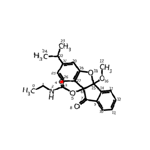 CCNC(=O)OC12C(=O)c3ccccc3C1(OC)Oc1cc(C(C)C)ccc12